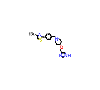 CC(C)(C)c1csc(-c2ccc(CN3CCC(OCc4c[nH]cn4)CC3)cc2)n1